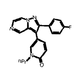 CCCn1cc(-c2c(-c3ccc(F)cc3)nn3ccncc23)ccc1=O